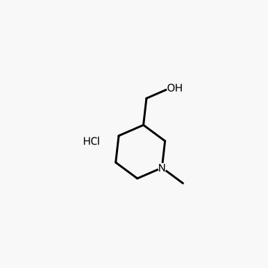 CN1CCCC(CO)C1.Cl